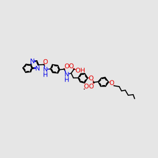 CCCCCCCOc1ccc(C(=O)Oc2ccc(CC(NC(=O)c3ccc(NC(=O)c4cnc5ccccc5n4)cc3)C(=O)O)cc2OC)cc1